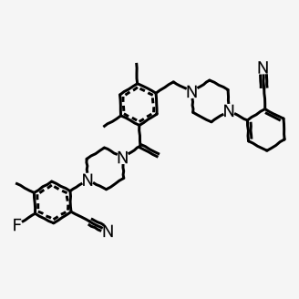 C=C(c1cc(CN2CCN(C3=CCCC=C3C#N)CC2)c(C)cc1C)N1CCN(c2cc(C)c(F)cc2C#N)CC1